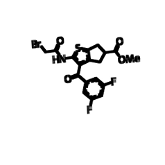 COC(=O)C1Cc2sc(NC(=O)CBr)c(C(=O)c3cc(F)cc(F)c3)c2C1